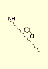 CCCCCCCCCCCCCCCCCCNC.ClCc1ccccc1